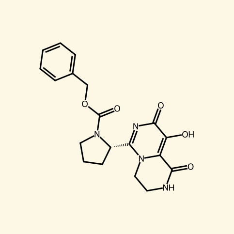 O=C1NCCn2c([C@@H]3CCCN3C(=O)OCc3ccccc3)nc(=O)c(O)c21